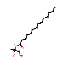 CCCCCCCCCCCCCC(=O)OC(C)(O)CO